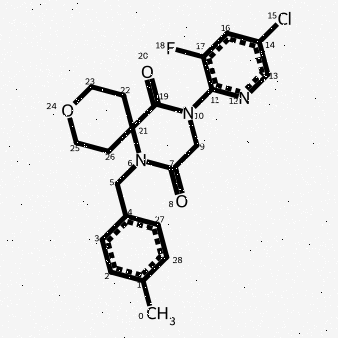 Cc1ccc(CN2C(=O)CN(c3ncc(Cl)cc3F)C(=O)C23CCOCC3)cc1